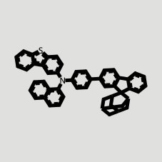 c1ccc2c(c1)-c1ccc(-c3ccc(N(c4ccc5sc6ccccc6c5c4)c4cccc5ccccc45)cc3)cc1C21C2CC3CC(C2)CC1C3